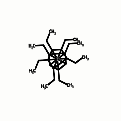 CC[C]12[CH]3[C]4(CC)[C]5(CC)[CH]1[Fe]32451678[C]2(CC)[C]1(CC)[C]6(CC)[C]7(CC)[C]28CC